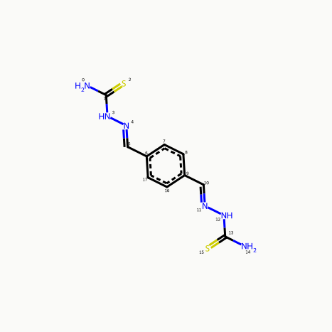 NC(=S)NN=Cc1ccc(C=NNC(N)=S)cc1